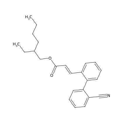 CCCCC(CC)COC(=O)C=Cc1ccccc1-c1ccccc1C#N